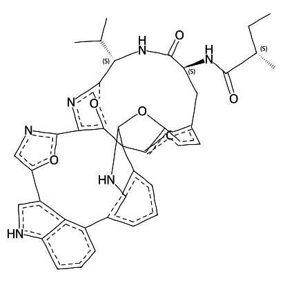 CC[C@H](C)C(=O)N[C@H]1Cc2ccc3c(c2)C24c5cccc(c5NC2O3)-c2cccc3[nH]cc(c23)-c2cnc(o2)-c2nc(oc24)[C@H](C(C)C)NC1=O